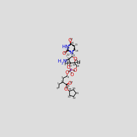 CCC(CCO[P@]1(=O)OC[C@H]2O[C@@H](n3ccc(=O)[nH]c3=O)[C@](C)(N)[C@@H]2O1)C(=O)OC1CCCC1